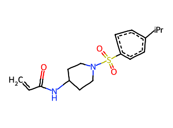 C=CC(=O)NC1CCN(S(=O)(=O)c2ccc(C(C)C)cc2)CC1